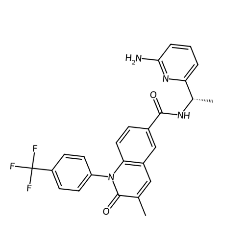 Cc1cc2cc(C(=O)N[C@@H](C)c3cccc(N)n3)ccc2n(-c2ccc(C(F)(F)F)cc2)c1=O